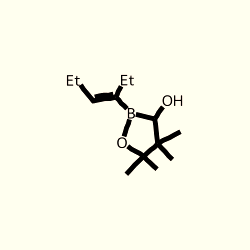 CCC=C(CC)B1OC(C)(C)C(C)(C)C1O